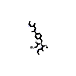 C=N/C(=C(C)/C=C\C)N(Cc1ccc(/C(C)=C/C(=C)/C=C\C)cc1)C(=O)CC(C)(C)C